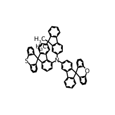 CC1(C)c2ccccc2-c2ccc(N(c3ccc4c(c3)-c3ccccc3C43c4ccccc4Oc4ccccc43)c3cccc4c3-c3ccccc3C43c4ccccc4Sc4ccccc43)cc21